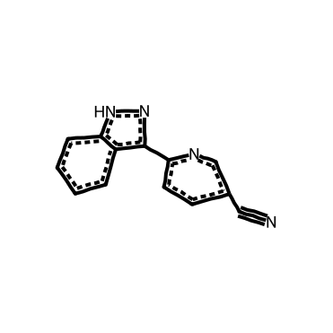 N#Cc1ccc(-c2n[nH]c3ccccc23)nc1